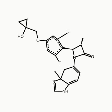 C[C@H]1C(=O)N(C2=CC=C3NC=NC3(C)C2)[C@H]1c1c(F)cc(OCC2(O)CC2)cc1F